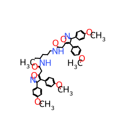 CCC(CCCNC(=O)Cc1onc(-c2ccc(OC)cc2)c1-c1ccc(OC)cc1)NC(=O)Cc1onc(-c2ccc(OC)cc2)c1-c1ccc(OC)cc1